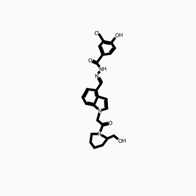 O=C(N/N=C/c1cccc2c1ccn2CC(=O)N1CCCCC1CO)c1ccc(O)c(Cl)c1